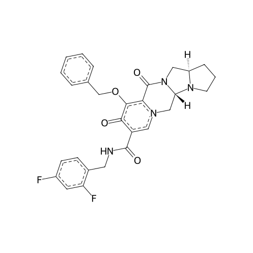 O=C(NCc1ccc(F)cc1F)c1cn2c(c(OCc3ccccc3)c1=O)C(=O)N1C[C@H]3CCCN3[C@@H]1C2